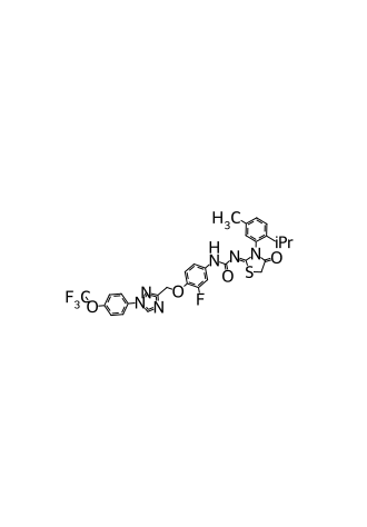 Cc1ccc(C(C)C)c(N2C(=O)CSC2=NC(=O)Nc2ccc(OCc3ncn(-c4ccc(OC(F)(F)F)cc4)n3)c(F)c2)c1